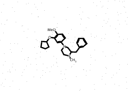 COc1ccc(N2CCN(C)C(Cc3ccccc3)C2)cc1OC1CCCC1